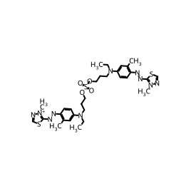 CCN(CCCOS(=O)(=O)OCCCN(CC)c1ccc(/N=N/c2scn[n+]2C)c(C)c1)c1ccc(/N=N/c2scn[n+]2C)c(C)c1